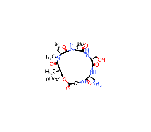 CCCCCCCCCC[C@H]1OC(=O)CNC(=O)[C@H](CN)NC(=O)[C@H](CO)NC(=O)[C@H](C(C)CC)NC(=O)[C@H](CC(C)C)N(C)C(=O)[C@@H]1C